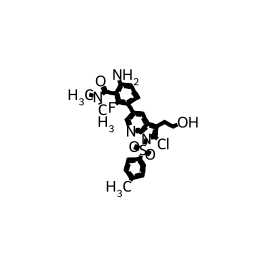 Cc1ccc(S(=O)(=O)n2c(Cl)c(CCO)c3cc(-c4ccc(N)c(C(=O)N(C)C)c4F)cnc32)cc1